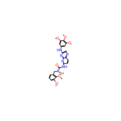 COc1cccc(CN(S)C(=O)Nc2ccc3ncc(Nc4cc(OC)c(OC)c(OC)c4)nc3n2)c1OC